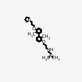 Cc1c(OCCCNCCN(C)C)cccc1-c1cccc(OCCCN2CCCC2)c1C